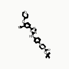 CC(C)(C)OC(=O)N1CCN(c2ccc(Nc3ncnc(-c4ccc(OC5CCOCC5)c(C#N)c4)n3)cc2)CC1